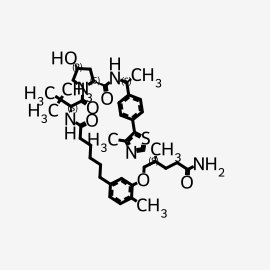 Cc1ccc(CCCCCC(=O)N[C@H](C(=O)N2C[C@H](O)C[C@H]2C(=O)N[C@@H](C)c2ccc(-c3scnc3C)cc2)C(C)(C)C)cc1OC[C@@H](C)CCC(N)=O